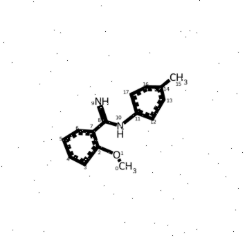 COc1ccccc1C(=N)Nc1ccc(C)cc1